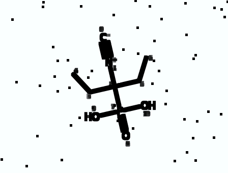 [C-]#[N+]C(CC)(CC)P(=O)(O)O